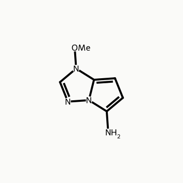 COn1cnn2c(N)ccc12